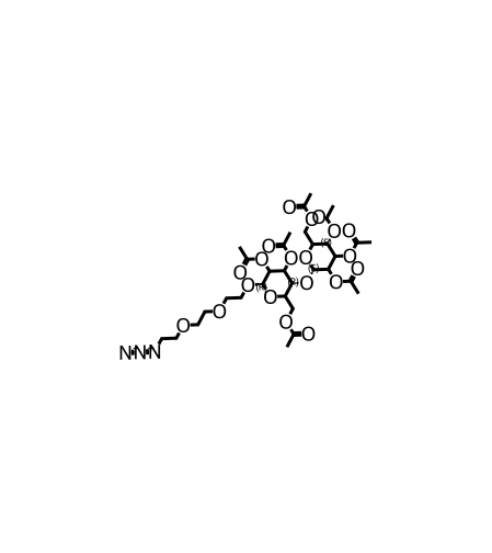 CC(=O)OCC1O[C@@H](OCCOCCOCCN=[N+]=[N-])C(OC(C)=O)C(OC(C)=O)[C@@H]1O[C@@H]1OC(COC(C)=O)[C@H](OC(C)=O)C(OC(C)=O)C1OC(C)=O